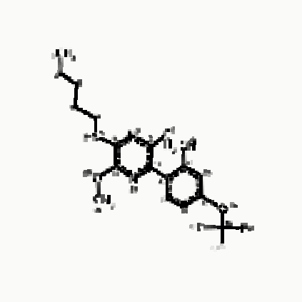 CCCCCNc1nc(C)c(-c2ccc(OC(F)(F)F)cc2O)nc1OC